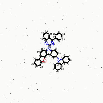 C1=Cc2c(c3ccccc3n2C2=CC3C4=C(C=CC5c6ccccc6OC45)N(c4nc(-c5ccccc5)c5ccccc5n4)C3C=C2)CC1